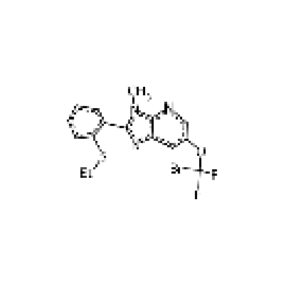 CCSc1ccccc1-c1nc2cc(OC(F)(F)Br)cnc2n1C